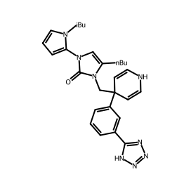 CCCCc1cn(-c2cccn2C(C)CC)c(=O)n1CC1(c2cccc(-c3nnn[nH]3)c2)C=CNC=C1